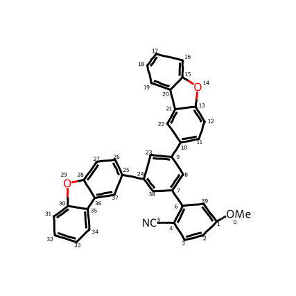 COc1ccc(C#N)c(-c2cc(-c3ccc4oc5ccccc5c4c3)cc(-c3ccc4oc5ccccc5c4c3)c2)c1